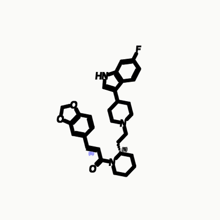 O=C(/C=C/c1ccc2c(c1)OCO2)N1CCCC[C@H]1CCN1CCC(c2c[nH]c3cc(F)ccc23)CC1